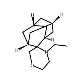 CCN1CCOCC12[C@H]1C[C@H]3C[C@H](C1)C[C@H]2C3